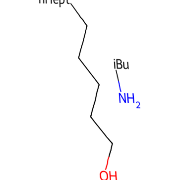 CCC(C)N.CCCCCCCCCCCCO